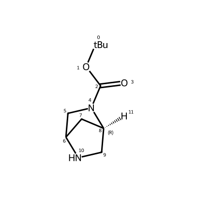 CC(C)(C)OC(=O)N1CC2C[C@@H]1CN2